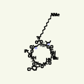 C/C=C(\C)[C@H]1OC(=O)[C@@H](C)NC(=O)[C@H](C(C)CC)NC(=O)CN(C)C(=O)[C@@H](Cc2ccc(Cl)cc2)N(C)C(=O)[C@H](C)NC(=O)[C@@H](CC(C)C)OC(=O)/C(C)=C/C[C@H](OC(=O)N(C)CCCCCCCCCCCCNC)[C@@H]1C